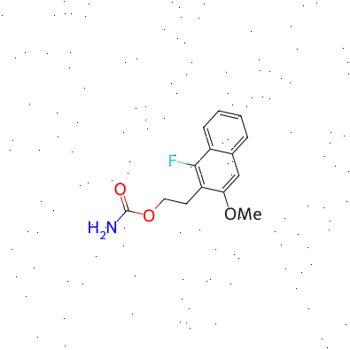 COc1cc2ccccc2c(F)c1CCOC(N)=O